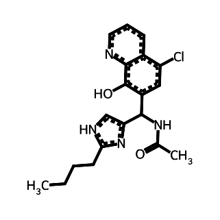 CCCCc1nc(C(NC(C)=O)c2cc(Cl)c3cccnc3c2O)c[nH]1